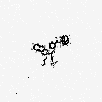 CCCC[C@H]1Cc2c([nH]c3ccccc23)[C@H](c2ccc(C(=O)NC34CC5CC(CC(C5)C3)C4)cc2)N1C(=O)C#C[Si](C)(C)C